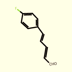 O=C/C=C/C=C/c1ccc(F)cc1